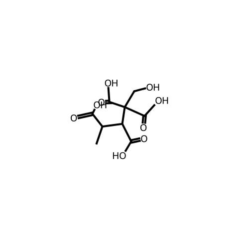 CC(C(=O)O)C(C(=O)O)C(CO)(C(=O)O)C(=O)O